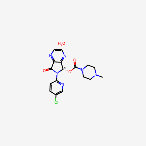 CN1CCN(C(=O)O[C@H]2c3nccnc3C(=O)N2c2ccc(Cl)cn2)CC1.O